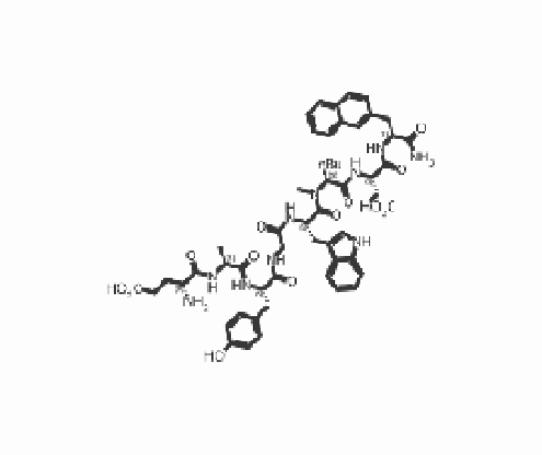 CCCC[C@@H](C(=O)N[C@@H](CC(=O)O)C(=O)N[C@@H](Cc1ccc2ccccc2c1)C(N)=O)N(C)C(=O)[C@H](Cc1c[nH]c2ccccc12)NC(=O)CNC(=O)[C@H](Cc1ccc(O)cc1)NC(=O)[C@H](C)NC(=O)[C@H](N)CCC(=O)O